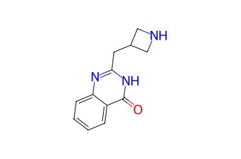 O=c1[nH]c(CC2CNC2)nc2ccccc12